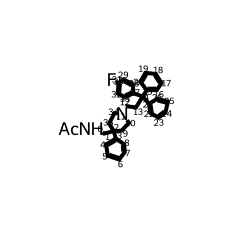 CC(=O)NCC1(c2ccccc2)CCN(CCC(c2ccccc2)(c2ccccc2)c2ccc(F)cc2)CC1